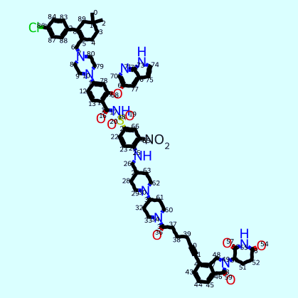 CC1(C)CCC(CN2CCN(c3ccc(C(=O)NS(=O)(=O)c4ccc(NCC5CCN(C6CCN(C(=O)CCCC#Cc7cccc8c7CN(C7CCC(=O)NC7=O)C8=O)CC6)CC5)c([N+](=O)[O-])c4)c(Oc4cnc5[nH]ccc5c4)c3)CC2)=C(c2ccc(Cl)cc2)C1